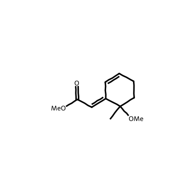 COC(=O)C=C1C=CCCC1(C)OC